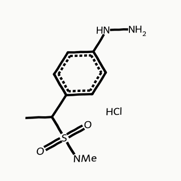 CNS(=O)(=O)C(C)c1ccc(NN)cc1.Cl